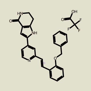 O=C(O)C(F)(F)F.O=C1NCCc2[nH]c(-c3ccnc(/C=C/c4ccccc4OCc4ccccc4)c3)cc21